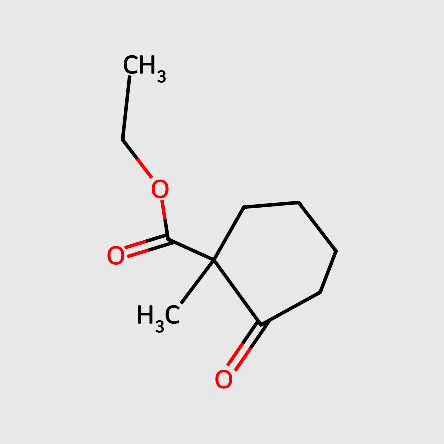 CCOC(=O)C1(C)CCCCC1=O